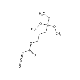 CO[Si](CCCOC(=O)C=C=O)(OC)OC